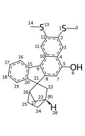 CSc1cc2c(O)cc3c(c2cc1SC)-c1ccccc1C31C[C@@H]2CCC1C2